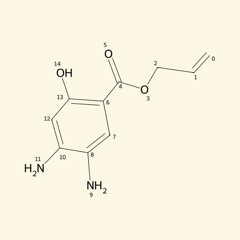 C=CCOC(=O)c1cc(N)c(N)cc1O